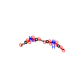 O=C(Oc1ccc(CCC2CO2)cc1)c1cnc(C(=O)Oc2ccc(OCCCCOc3ccc(OC(=O)c4cnc(C(=O)Oc5ccc(OCC6CO6)cc5)[nH]4)cc3)cc2)[nH]1